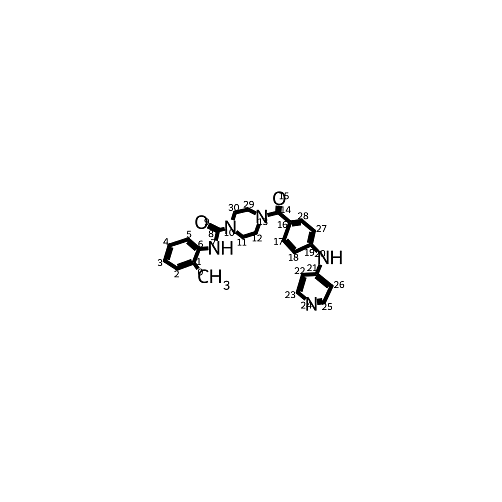 Cc1ccccc1NC(=O)N1CCN(C(=O)c2ccc(Nc3ccncc3)cc2)CC1